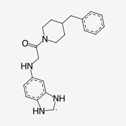 O=C(CNc1ccc2c(c1)N[CH]N2)N1CCC(Cc2ccccc2)CC1